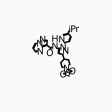 CC(C)c1ccc(-n2nc(C3CCN(S(C)(=O)=O)CC3)cc2NC(=O)c2cnn3cccnc23)nc1